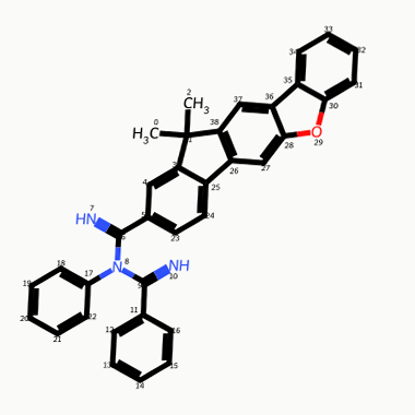 CC1(C)c2cc(C(=N)N(C(=N)c3ccccc3)c3ccccc3)ccc2-c2cc3oc4ccccc4c3cc21